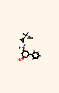 CC[C@H](C)C(C)(C)[C@@H]1C[C@H]1CNC1CC(O)CC(c2ccccc2)C1